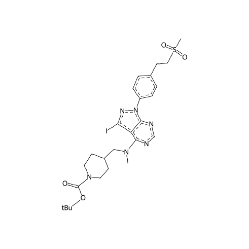 CN(CC1CCN(C(=O)OC(C)(C)C)CC1)c1ncnc2c1c(I)nn2-c1ccc(CCS(C)(=O)=O)cc1